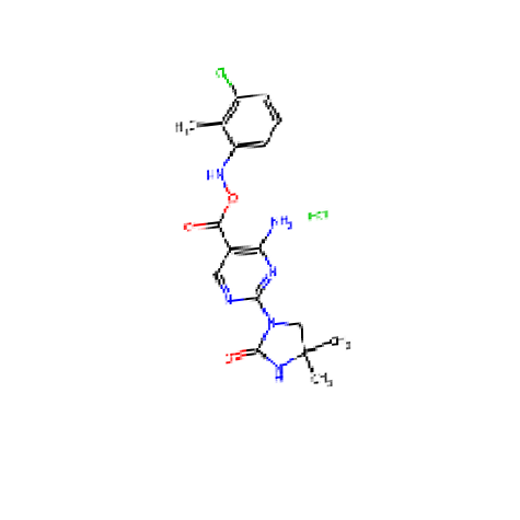 Cc1c(Cl)cccc1NOC(=O)c1cnc(N2CC(C)(C)NC2=O)nc1N.Cl